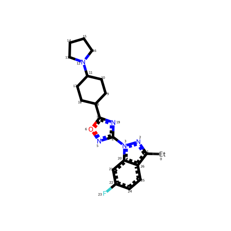 CCc1nn(-c2noc(C3CCC(N4CCCC4)CC3)n2)c2cc(F)ccc12